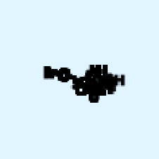 CC(CC(CN)CC(=O)O)(SCc1ccc(Br)cc1)C(CN)CC(=O)OSc1ccccc1